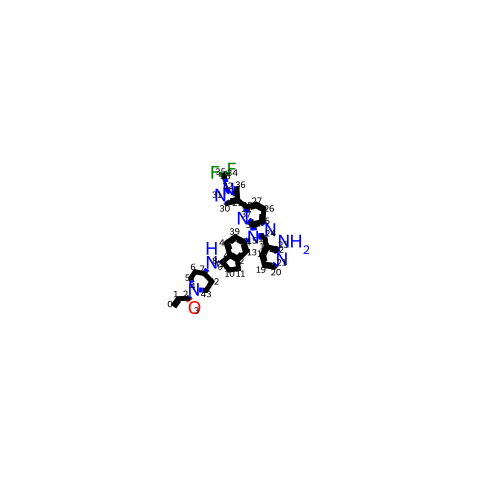 C=CC(=O)N1CCC(N[C@H]2CCc3cc(-n4c(-c5cccnc5N)nc5ccc(-c6cnn(C(F)F)c6)nc54)ccc32)CC1